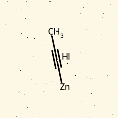 CC#[C][Zn].I